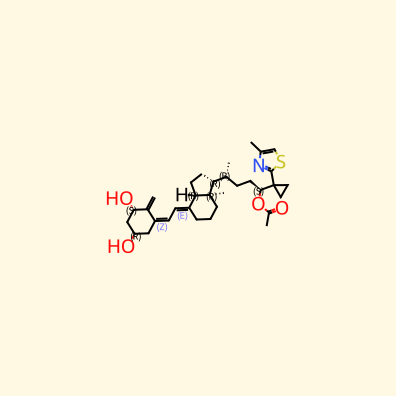 C=C1/C(=C\C=C2/CCC[C@]3(C)[C@@H]([C@H](C)CC[C@H](OC(C)=O)C4(c5nc(C)cs5)CC4)CC[C@@H]23)C[C@@H](O)C[C@@H]1O